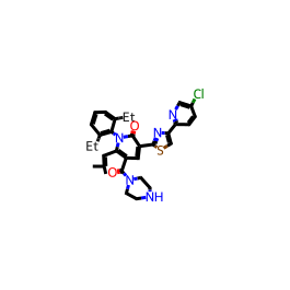 CCc1cccc(CC)c1-n1c(C=C(C)C)c(C(=O)N2CCNCC2)cc(-c2nc(-c3ccc(Cl)cn3)cs2)c1=O